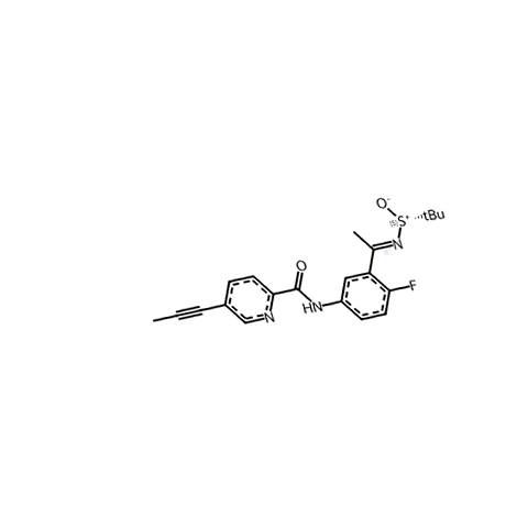 CC#Cc1ccc(C(=O)Nc2ccc(F)c(/C(C)=N/[S@+]([O-])C(C)(C)C)c2)nc1